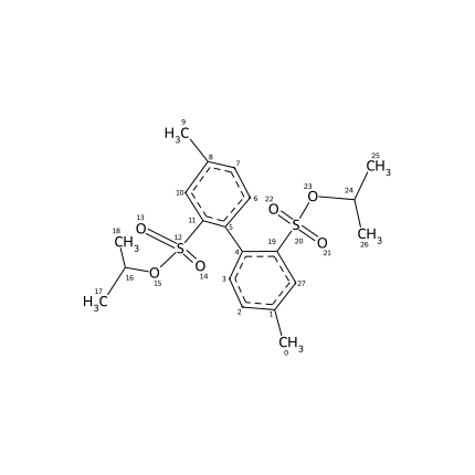 Cc1ccc(-c2ccc(C)cc2S(=O)(=O)OC(C)C)c(S(=O)(=O)OC(C)C)c1